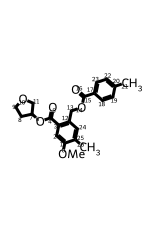 COc1cc(C(=O)OC2CCOC2)c(COC(=O)c2ccc(C)cc2)cc1C